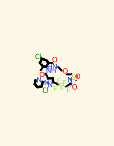 Cc1cc(Cl)cc(C(=O)NCCOCCS(C)(=O)=NC(=O)C(F)(F)F)c1NC(=O)c1cc(C(F)(F)F)nn1-c1ncccc1Cl